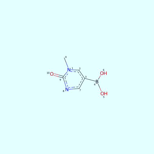 Cn1cc(B(O)O)cnc1=O